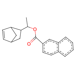 CC(OC(=O)c1ccc2ccccc2c1)C1CC2C=CC1C2